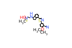 CSN(O)CCNC1CCc2c(-c3cnc(-c4ccc(OC(C)C)c(C#N)c4)s3)cccc21